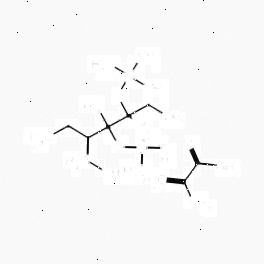 C=C(C)C(=O)O.CCC([SiH2]C)C(O)(O[Si](C)(C)C)C(O)(CO)O[Si](C)(C)C